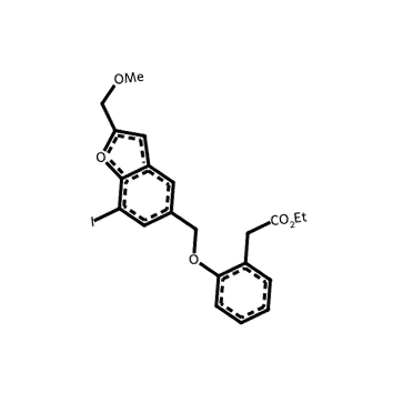 CCOC(=O)Cc1ccccc1OCc1cc(I)c2oc(COC)cc2c1